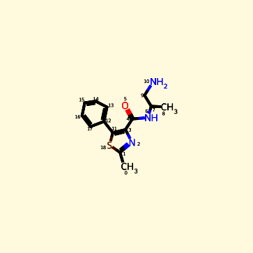 Cc1nc(C(=O)NC(C)CN)c(-c2ccccc2)s1